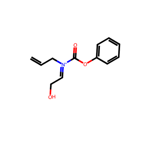 C=CC[N+](=CCO)C(=O)Oc1ccccc1